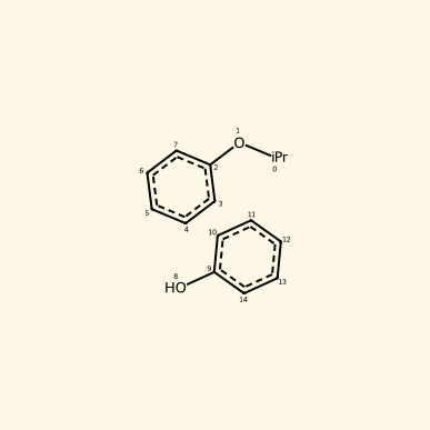 CC(C)Oc1ccccc1.Oc1ccccc1